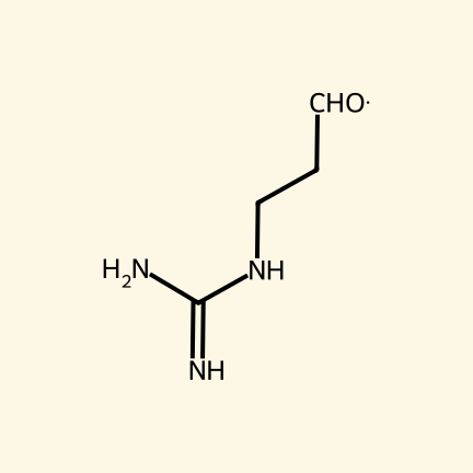 N=C(N)NCC[C]=O